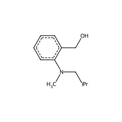 CC(C)CN(C)c1ccccc1CO